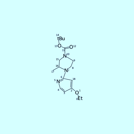 CCOc1ccnc(N2CCN(C(=O)OC(C)(C)C)CC2C)c1